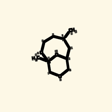 CN1CCO[Si]2(C)COCC(C1)O2